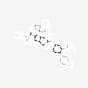 CCC1(n2c(C(=O)N(C)C)cc3cnc(Nc4ccc(N5CCNCC5)c(OC)c4)nc32)CC[C@H]1C